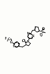 CS(=O)(=O)C1CC=C(Cc2ncc(N3CCC(Cc4ccc(OCC(F)(F)F)nc4)C3=O)cn2)C1